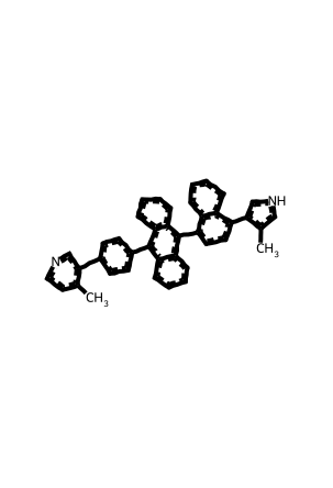 Cc1ccncc1-c1ccc(-c2c3ccccc3c(-c3ccc(-c4c[nH]cc4C)c4ccccc34)c3ccccc23)cc1